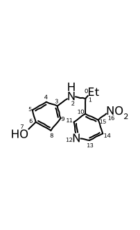 CCC(Nc1ccc(O)cc1)c1cnccc1[N+](=O)[O-]